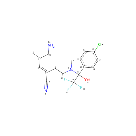 CC(/C=C(/C#N)CCN(C)C(O)(c1ccc(Cl)cc1)C(F)(F)F)CN